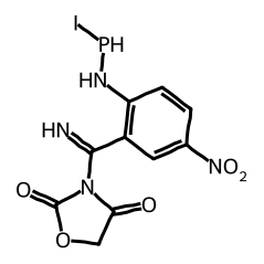 N=C(c1cc([N+](=O)[O-])ccc1NPI)N1C(=O)COC1=O